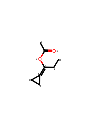 CCC(OC(C)=O)=C1CC1